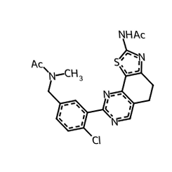 CC(=O)Nc1nc2c(s1)-c1nc(-c3cc(CN(C)C(C)=O)ccc3Cl)ncc1CC2